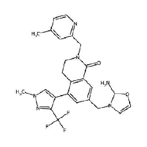 Cc1ccnc(CN2CCc3c(cc(CN4C=COC4N)cc3-c3cn(C)nc3C(F)(F)F)C2=O)c1